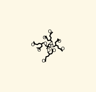 C(CC1CO1)C(COCC(COCC(CCC1CO1)CC1CO1)(COCC(CCC1CO1)CC1CO1)COCC(CCC1CO1)CC1CO1)CC1CO1